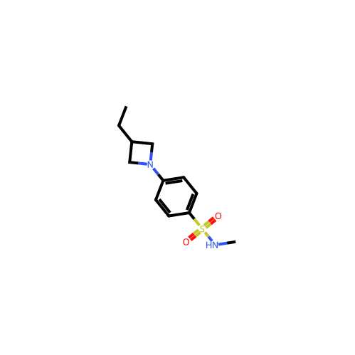 CCC1CN(c2ccc(S(=O)(=O)NC)cc2)C1